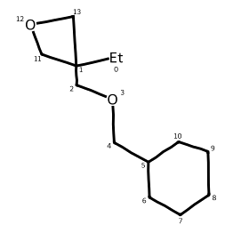 CCC1(COCC2CCCCC2)COC1